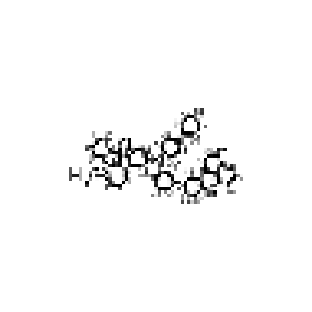 C[C@@H]1C=CC=CC2=C1c1ccccc1C2(C)c1ccc(N(c2ccc(-c3ccccc3)cc2)c2cccc(-c3ccc4c(c3)-c3cccc5cccc(c35)S4)c2)cc1